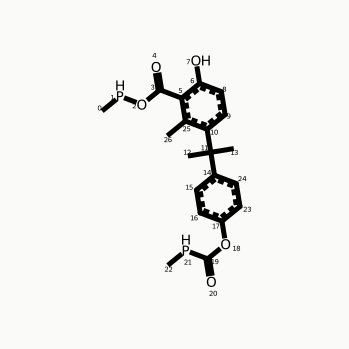 CPOC(=O)c1c(O)ccc(C(C)(C)c2ccc(OC(=O)PC)cc2)c1C